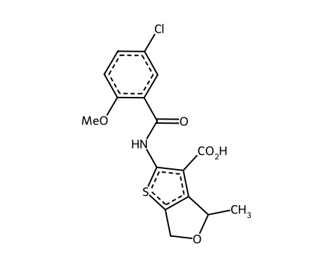 COc1ccc(Cl)cc1C(=O)Nc1sc2c(c1C(=O)O)C(C)OC2